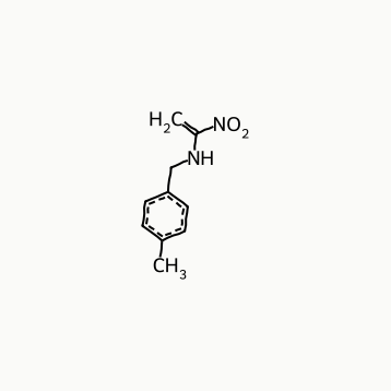 C=C(NCc1ccc(C)cc1)[N+](=O)[O-]